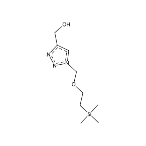 C[Si](C)(C)CCOCn1cc(CO)nn1